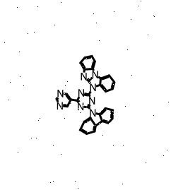 c1ccc2c(c1)nc1n(-c3nc(-c4cncnc4)nc(-n4c5ccccc5c5ccccc54)n3)c3ccccc3n21